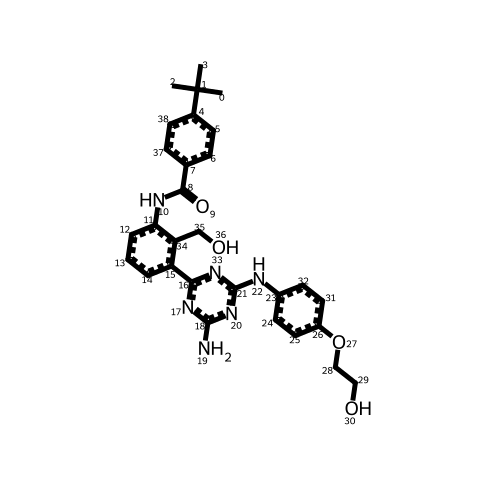 CC(C)(C)c1ccc(C(=O)Nc2cccc(-c3nc(N)nc(Nc4ccc(OCCO)cc4)n3)c2CO)cc1